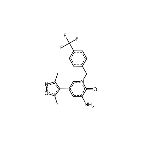 Cc1noc(C)c1-c1cc(N)c(=O)n(Cc2ccc(C(F)(F)F)cc2)c1